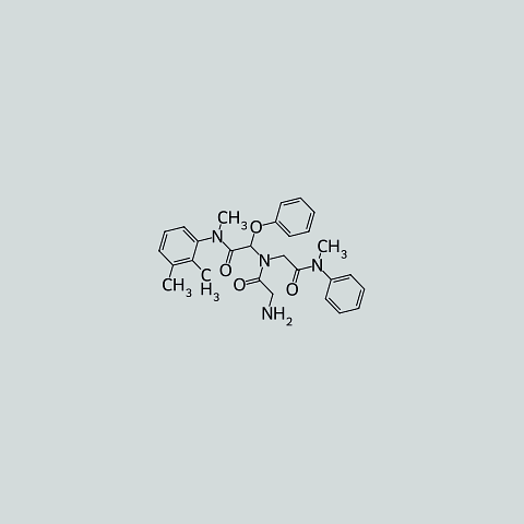 Cc1cccc(N(C)C(=O)C(Oc2ccccc2)N(CC(=O)N(C)c2ccccc2)C(=O)CN)c1C